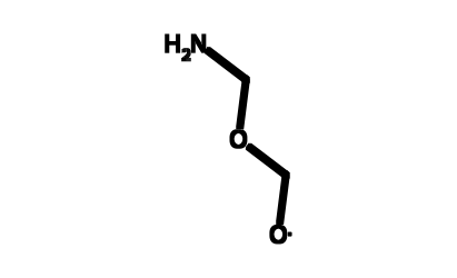 NCOC[O]